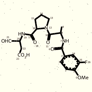 COc1ccc(C(=O)NC(C)C(=O)N2CCCC2C(=O)NC(C=O)CC(=O)O)cc1F